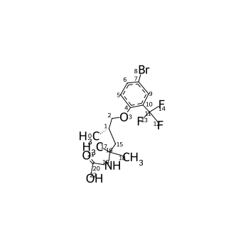 C[C@H](COc1ccc(Br)cc1C(F)(F)F)CC(C)(C)NC(=O)O